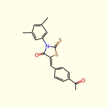 CC(=O)c1ccc(/C=C2\SC(=S)N(c3cc(C)cc(C)c3)C2=O)cc1